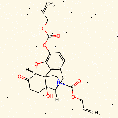 C=CCOC(=O)Oc1ccc2c3c1O[C@H]1C(=O)CCC4(O)[C@@H](C2)N(C(=O)OCC=C)CCC314